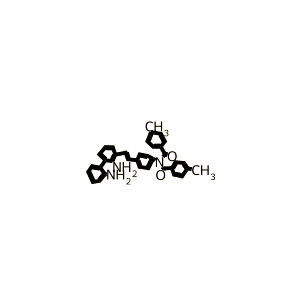 Cc1ccc(C(=O)N(C(=O)c2ccc(C)cc2)c2ccc(/C=C/c3cccc(-c4ccccc4N)c3N)cc2)cc1